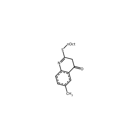 CCCCCCCCSC1=Nc2ccc(C)cc2C(=O)C1